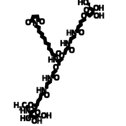 CC(=O)N[C@H]1[C@H](OCCCCC(=O)NCCCNC(=O)CCOCC(COCCC(=O)NCCCNC(=O)CCCCO[C@H]2C[C@@H](O)[C@@H](O)[C@@H](CO)O2)NC(=O)CCCCCCCCCCCN2C(=O)C=CC2=O)O[C@H](CO)[C@H](O)[C@@H]1O